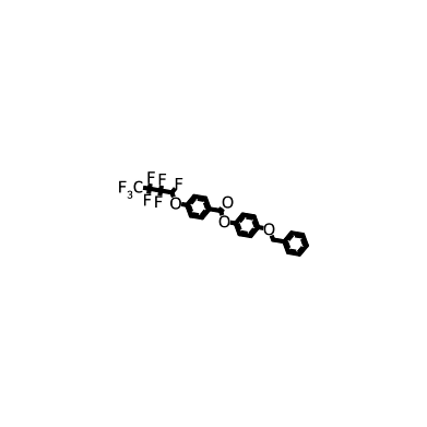 O=C(Oc1ccc(OCc2ccccc2)cc1)c1ccc(OC(F)C(F)(F)C(F)(F)C(F)(F)F)cc1